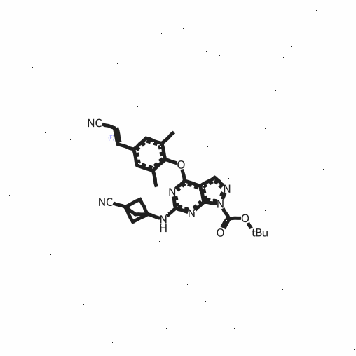 Cc1cc(/C=C/C#N)cc(C)c1Oc1nc(NC23CC(C#N)(C2)C3)nc2c1cnn2C(=O)OC(C)(C)C